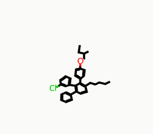 CCCCCc1ccc(-c2ccccc2)c(-c2cccc(Cl)c2)c1-c1ccc(OCC(C)CC)cc1